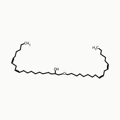 CCCCC/C=C\C/C=C\CCCCCCCCOCC(O)CCCCCCCC/C=C\C/C=C\CCCCC